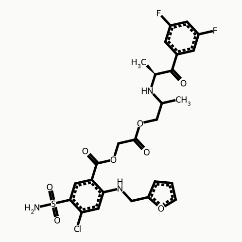 CC(COC(=O)COC(=O)c1cc(S(N)(=O)=O)c(Cl)cc1NCc1ccco1)N[C@@H](C)C(=O)c1cc(F)cc(F)c1